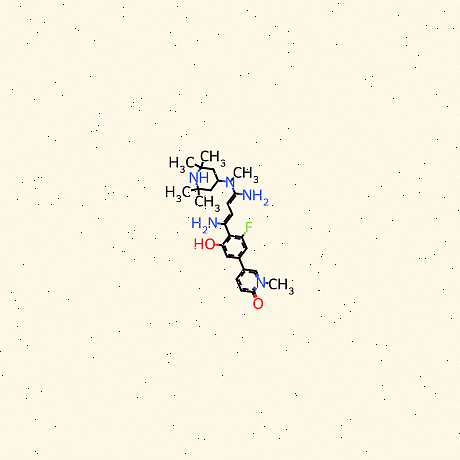 CN(/C(N)=C/C=C(\N)c1c(O)cc(-c2ccc(=O)n(C)c2)cc1F)C1CC(C)(C)NC(C)(C)C1